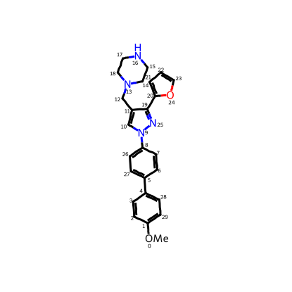 COc1ccc(-c2ccc(-n3cc(CN4CCNCC4)c(-c4ccco4)n3)cc2)cc1